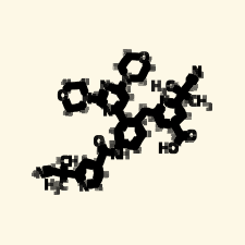 CC(C)(C#N)c1cc(C(=O)Nc2ccc(Cc3cc(C(=O)O)cc(C(C)(C)C#N)n3)c(-c3cc(N4CCOCC4)nc(N4CCOCC4)n3)c2)ccn1